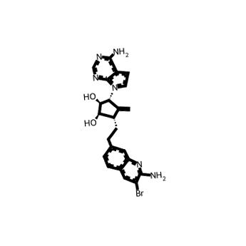 C=C1[C@@H](n2ccc3c(N)ncnc32)[C@H](O)[C@H](O)[C@H]1CCc1ccc2cc(Br)c(N)nc2c1